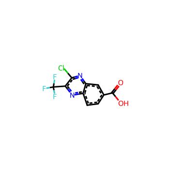 O=C(O)c1ccc2nc(C(F)(F)F)c(Cl)nc2c1